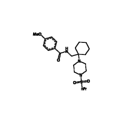 CCCS(=O)(=O)N1CCN(C2(CNC(=O)c3ccc(OC)cc3)CCCCC2)CC1